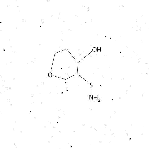 NSC1COCCC1O